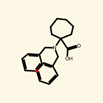 O=C(O)C1(N(Cc2ccccc2)Cc2ccccc2)CCCCCC1